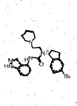 CC(C)(C)c1ccc2c(c1)CC[C@H]2N(CCN1CCCCC1)C(=O)Nc1cccc2[nH]ncc12